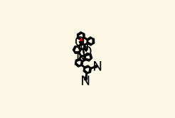 N#Cc1cc(C#N)cc(-c2cccc3c2c2ccccc2n3-c2cccc3c2C(=O)N(c2ccccc2-c2ccccc2)C3=O)c1